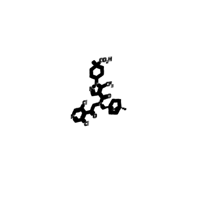 CC1(C(=O)O)CCC(n2ncc(C(=O)N(CC(=O)c3c(Cl)cncc3Cl)C[C@]34CC[C@@](C)(CC3)O4)c2C(F)(F)F)CC1